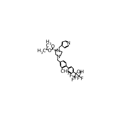 Cc1cc(CN2CCN(Cc3ccncc3)[C@@H](C(=O)OC(C)C)C2)ccc1-c1ccc(C(O)(C(F)(F)F)C(F)(F)F)cc1